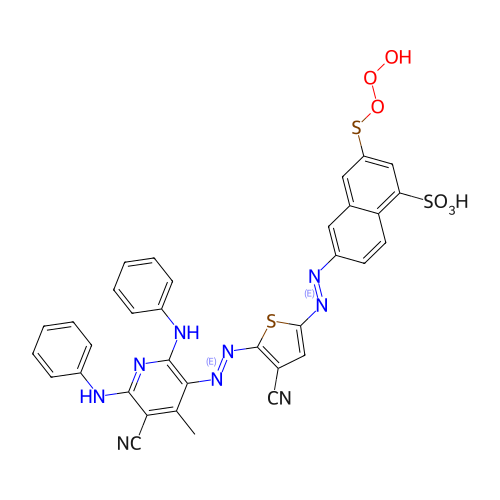 Cc1c(C#N)c(Nc2ccccc2)nc(Nc2ccccc2)c1/N=N/c1sc(/N=N/c2ccc3c(S(=O)(=O)O)cc(SOOO)cc3c2)cc1C#N